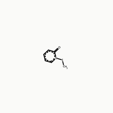 CSn1ccccc1=O